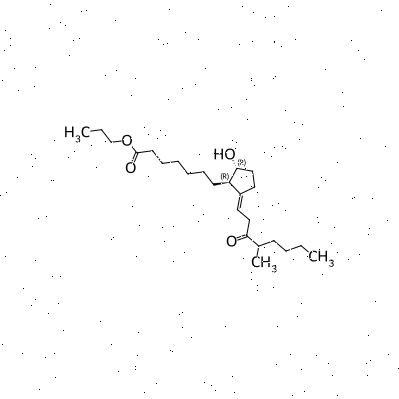 CCCCC(C)C(=O)CC=C1CC[C@@H](O)[C@@H]1CCCCCCC(=O)OCCC